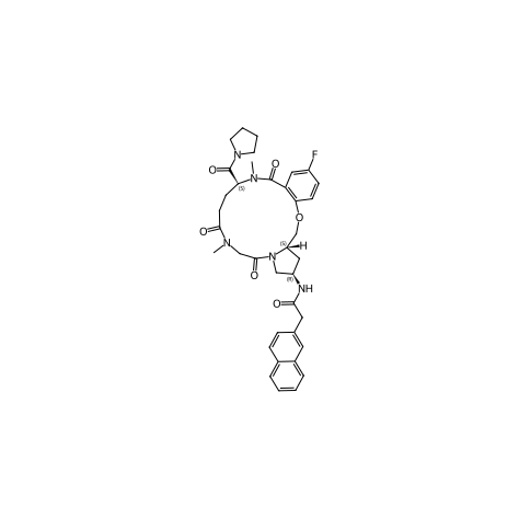 CN1CC(=O)N2C[C@H](NC(=O)Cc3ccc4ccccc4c3)C[C@H]2COc2ccc(F)cc2C(=O)N(C)[C@H](C(=O)N2CCCC2)CCC1=O